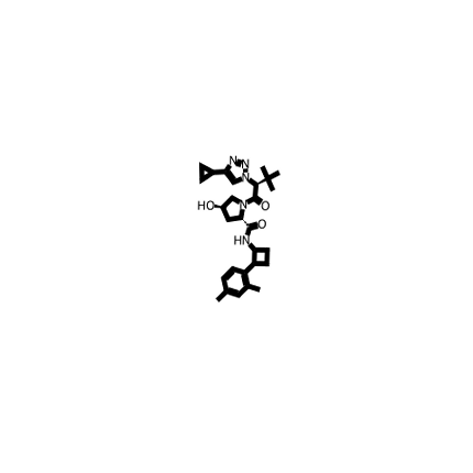 Cc1ccc(C2CCC2NC(=O)[C@@H]2C[C@@H](O)CN2C(=O)[C@@H](n2cc(C3CC3)nn2)C(C)(C)C)c(C)c1